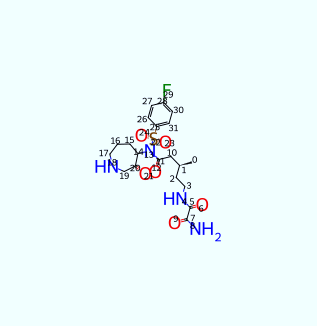 C[C@@H](CCNC(=O)C(N)=O)CC(=O)N(C1CCCNCC1=O)S(=O)(=O)c1ccc(F)cc1